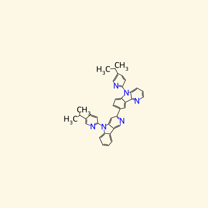 CC(C)c1ccc(-n2c3ccccc3c3cnc(-c4ccc5c(c4)c4ncccc4n5-c4ccc(C(C)C)cn4)cc32)nc1